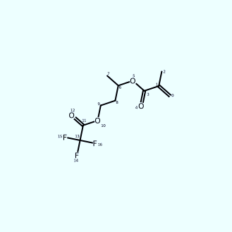 C=C(C)C(=O)OC(C)CCOC(=O)C(F)(F)F